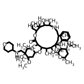 CCC1OC(=O)C(C)C(O[C@H]2C[C@@](C)(OC)[C@](O)(CNC3CCOCC3)[C@H](C)O2)C(C)C(O[C@@H]2O[C@H](C)C[C@H](N(C)C)[C@H]2Oc2ccccc2)C(C)(O)CC(C)CNC(C)C(O)C1(C)O